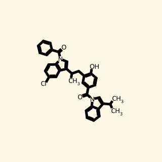 CC(C)c1cn(C(=O)c2ccc(O)c(CC(C)c3cn(C(=O)c4ccccc4)c4ccc(Cl)cc34)c2)c2ccccc12